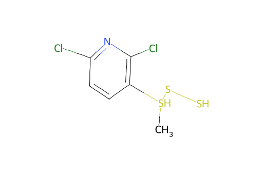 C[SH](SS)c1ccc(Cl)nc1Cl